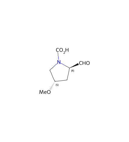 CO[C@H]1C[C@H](C=O)N(C(=O)O)C1